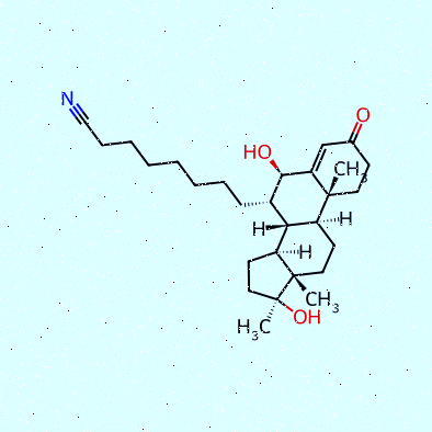 C[C@]12CCC(=O)C=C1[C@H](O)[C@@H](CCCCCCCC#N)[C@@H]1[C@@H]2CC[C@@]2(C)[C@H]1CC[C@]2(C)O